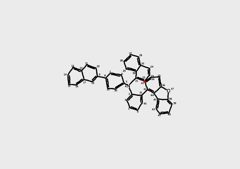 c1ccc(N(c2ccc(-c3ccc4ccccc4c3)cc2)c2cccc3ccccc23)c(-c2cccc3oc4ccccc4c23)c1